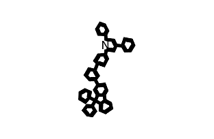 c1ccc(-c2cc(-c3ccccc3)nc(-c3ccc(-c4cccc(-c5ccc6c(c5)C(c5ccccc5)(c5ccccc5)c5ccccc5-6)c4)cc3)c2)cc1